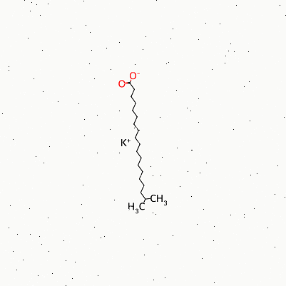 CC(C)CCCCCCCCCCCCCCCCC(=O)[O-].[K+]